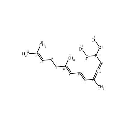 CCOP(C=C=C(C)/C=C/C=C(\C)CCC=C(C)C)OCC